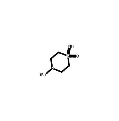 CC(C)(C)N1CCS(=N)(=O)CC1